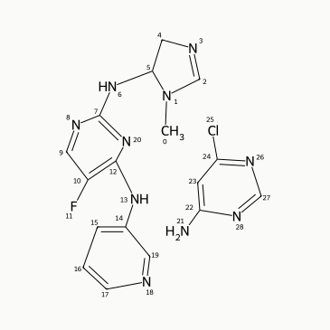 CN1C=NCC1Nc1ncc(F)c(Nc2cccnc2)n1.Nc1cc(Cl)ncn1